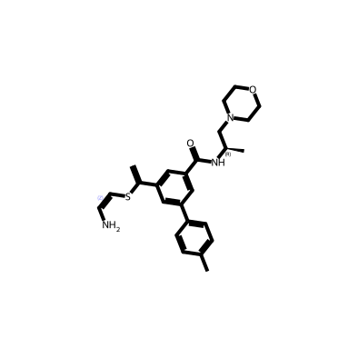 C=C(S/C=C\N)c1cc(C(=O)N[C@H](C)CN2CCOCC2)cc(-c2ccc(C)cc2)c1